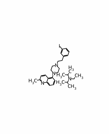 CCN(C(C)C)C(C)C.Cc1ccc2c(N3CCN(CCc4cccc(I)c4)CC3)cccc2n1